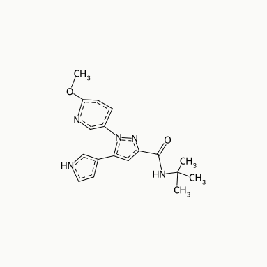 COc1ccc(-n2nc(C(=O)NC(C)(C)C)cc2-c2cc[nH]c2)cn1